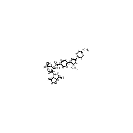 Cc1sc(N2CCN(C)CC2)nc1-c1ccc(C(=O)NC(CC(C)(C)F)C(=O)N2CC(Cl)C3OCC(=O)C32)cc1